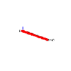 CCNCCOCCOCCOCCOCCOCCOCCOCCOCCOCCOCCOCCOCCOCCOCCOCCOCCOCCOCCOCCOCCOCCOCCOCCOCCC=O